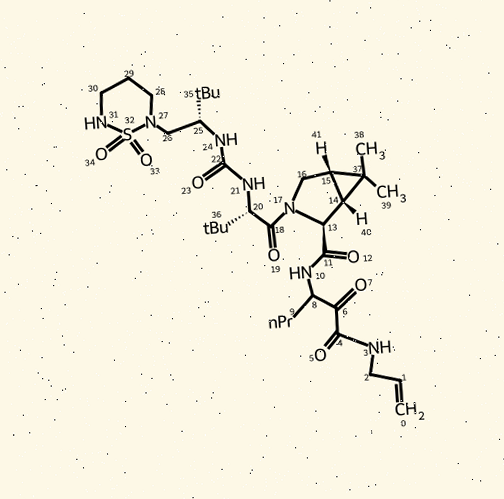 C=CCNC(=O)C(=O)C(CCC)NC(=O)[C@@H]1[C@@H]2[C@H](CN1C(=O)[C@@H](NC(=O)N[C@H](CN1CCCNS1(=O)=O)C(C)(C)C)C(C)(C)C)C2(C)C